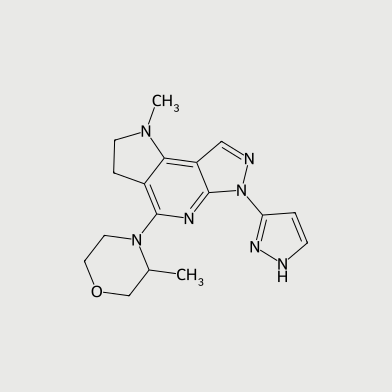 CC1COCCN1c1nc2c(cnn2-c2cc[nH]n2)c2c1CCN2C